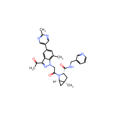 CC(=O)c1nn(CC(=O)N2[C@H](C(=O)NCc3cccnc3)C[C@@]3(C)C[C@@H]23)c2c(C)cc(-c3cnc(C)nc3)cc12